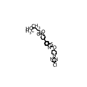 CC(C)(O)CCCS(=O)(=O)N1CC=C(c2ccc3nc(OC4CCN(c5ncc(Cl)cn5)CC4)sc3c2)CC1